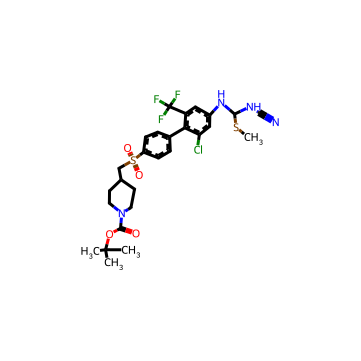 CSC(NC#N)Nc1cc(Cl)c(-c2ccc(S(=O)(=O)CC3CCN(C(=O)OC(C)(C)C)CC3)cc2)c(C(F)(F)F)c1